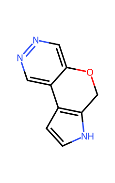 c1cc2c([nH]1)COc1cnncc1-2